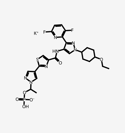 CCOC1CCC(n2cc(NC(=O)c3csc(-c4cnn(C(C)OP(=O)([O-])O)c4)n3)c(-c3nc(F)ccc3F)n2)CC1.[K+]